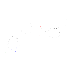 O=S(=O)(c1cccc(C(F)(F)F)c1)C1CCOC(c2ccc(Cl)nc2)C1